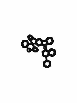 c1ccc(-c2ccc(-n3c4ccccc4c4cc5c(cc43)C3(c4ccccc4Oc4ccccc43)c3ccccc3-5)c3ccccc23)cc1